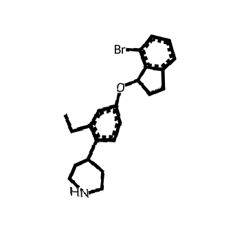 CCc1cc(OC2CCc3cccc(Br)c32)ccc1C1CCNCC1